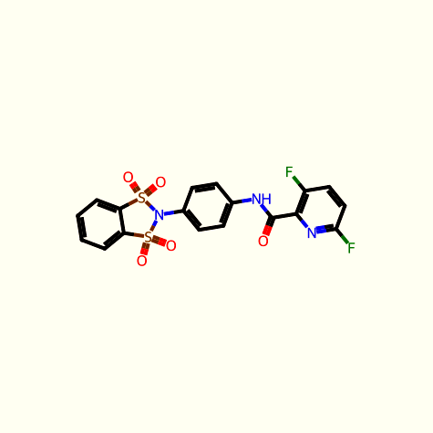 O=C(Nc1ccc(N2S(=O)(=O)c3ccccc3S2(=O)=O)cc1)c1nc(F)ccc1F